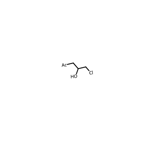 CC(=O)CC(O)CCl